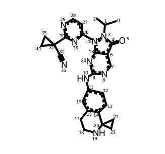 CC(C)n1c(=O)c2cnc(Nc3ccc4c(c3)CCNC43CC3)nc2n1-c1ccnc(C2(C#N)CC2)n1